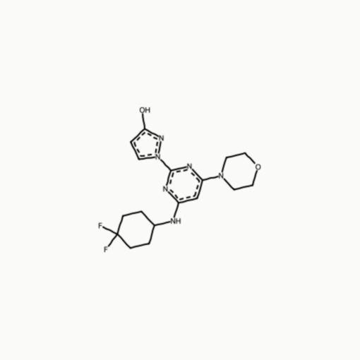 Oc1ccn(-c2nc(NC3CCC(F)(F)CC3)cc(N3CCOCC3)n2)n1